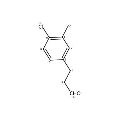 Cc1cc(CC[C]=O)ccc1Cl